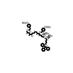 COc1ccc(CO[C@@H]([C@@H](C)C=C[C@H](C[C@H](O[Si](C)(C)C(C)(C)C)[C@H](C)C=CCOC(c2ccccc2)(c2ccccc2)c2ccccc2)O[Si](C)(C)C(C)(C)C)[C@@H](C)C[C@@H](C)CCC(=O)C(C)C2OC(Cc3ccc(OC)cc3)OC[C@@H]2C)cc1